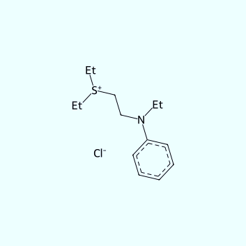 CCN(CC[S+](CC)CC)c1ccccc1.[Cl-]